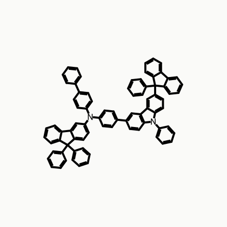 c1ccc(-c2ccc(N(c3ccc(-c4ccc5c(c4)c4cc(C6(c7ccccc7)c7ccccc7-c7ccccc76)ccc4n5-c4ccccc4)cc3)c3ccc4c(c3)-c3ccccc3C4(c3ccccc3)c3ccccc3)cc2)cc1